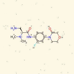 CN(C)[C@@H](CN)C(=O)Nc1ccc(N2CCOCC2=O)cc1F